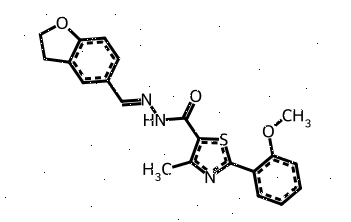 COc1ccccc1-c1nc(C)c(C(=O)N/N=C/c2ccc3c(c2)CCO3)s1